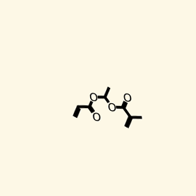 C=CC(=O)OC(C)OC(=O)C(=C)C